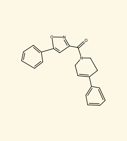 O=C(c1cc(-c2ccccc2)on1)N1CC=C(c2ccccc2)CC1